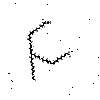 CCCCCCCCCCCCC(CCCCCCCC/C=C\CCCCCCCC(=O)O)CCCCCCCCC/C=C\CCCCCCCC(=O)O